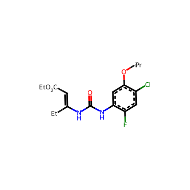 CCOC(=O)C=C(CC)NC(=O)Nc1cc(OC(C)C)c(Cl)cc1F